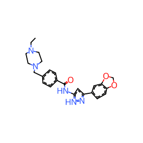 CCN1CCN(Cc2ccc(C(=O)Nc3cc(-c4ccc5c(c4)OCO5)n[nH]3)cc2)CC1